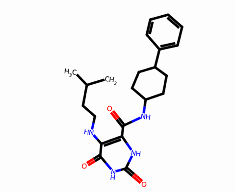 CC(C)CCNc1c(C(=O)NC2CCC(c3ccccc3)CC2)[nH]c(=O)[nH]c1=O